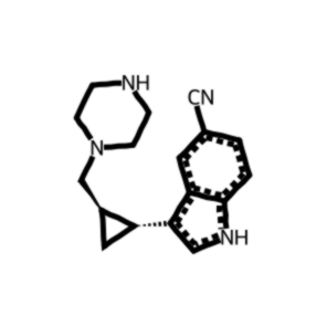 N#Cc1ccc2[nH]cc([C@@H]3C[C@H]3CN3CCNCC3)c2c1